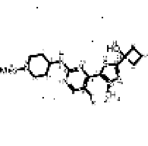 CSN1CCC(Nc2ncc(F)c(-c3sc(C4(O)CCC4)nc3C)n2)CC1